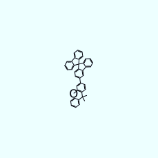 CC1(C)c2ccccc2Oc2cc(-c3ccc4c(c3)-c3ccccc3C43c4ccccc4-c4ccccc43)ccc21